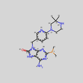 CP(C)c1nc(N)c2[nH]c(=O)n(Cc3ccc(N4CCNC(C)(C)C4)nc3)c2n1